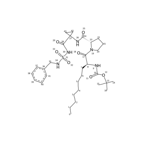 CCCCCCCC[C@H](NC(=O)OC(C)(C)C)C(=O)N1CCC[C@H]1C(=O)NC1(C(=O)NS(=O)(=O)NCc2ccccc2)CC1